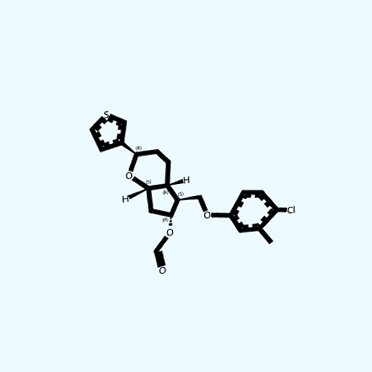 Cc1cc(OC[C@@H]2[C@H]3CC[C@H](c4ccsc4)O[C@H]3C[C@H]2OC=O)ccc1Cl